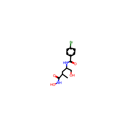 CC(CC(CO)NC(=O)c1ccc(Br)cc1)C(=O)NO